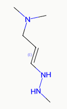 CNN/C=C/CN(C)C